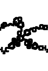 COCCCN1CCOc2ccc(COC3CN(S(=O)(=O)c4ccc(C)cc4)CC(COS(=O)(=O)c4ccc(C)cc4)C3c3ccc(COCCOC)cc3)cc21